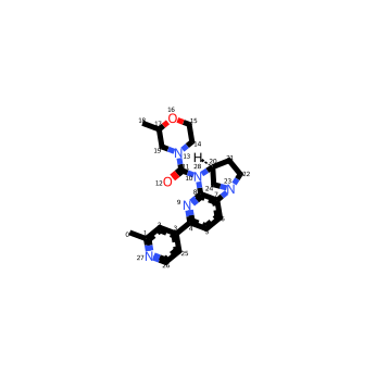 Cc1cc(-c2ccc3c(n2)N(C(=O)N2CCOC(C)C2)[C@H]2CCN3C2)ccn1